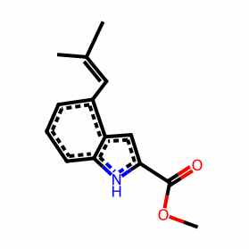 COC(=O)c1cc2c(C=C(C)C)cccc2[nH]1